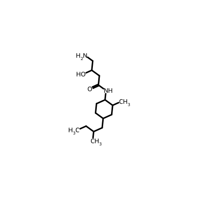 CCC(C)CC1CCC(NC(=O)CC(O)CN)C(C)C1